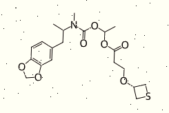 CC(OC(=O)CCOC1CSC1)OC(=O)N(C)C(C)Cc1ccc2c(c1)OCO2